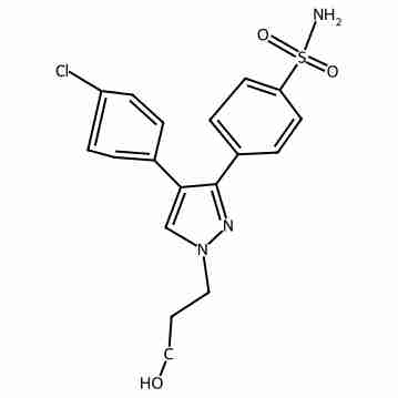 NS(=O)(=O)c1ccc(-c2nn(CCCO)cc2-c2ccc(Cl)cc2)cc1